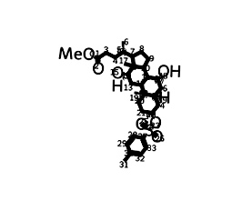 COC(=O)CC[C@@H](C)C1CCC2C3C(C[C@H](O)C21C)[C@@]1(C)CC[C@@H](OS(=O)(=O)c2ccc(C)cc2)C[C@H]1C[C@H]3O